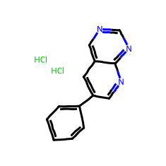 Cl.Cl.c1ccc(-c2cnc3ncncc3c2)cc1